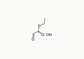 CCOC(=O)C=O.Cl